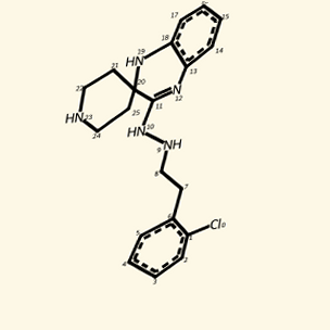 Clc1ccccc1CCNNC1=Nc2ccccc2NC12CCNCC2